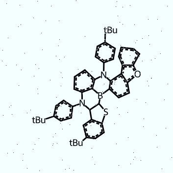 CC(C)(C)c1ccc(N2c3cccc4c3B(c3ccc5oc6ccccc6c5c32)C2Sc3ccc(C(C)(C)C)cc3C2N4c2ccc(C(C)(C)C)cc2)cc1